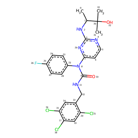 CC(Nc1nccc(N(C(=O)NCc2cc(Cl)c(Cl)cc2Cl)c2ccc(F)cc2)n1)C(C)(C)O